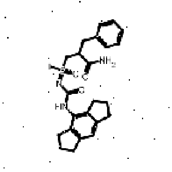 NC(=O)C(Cc1ccccc1)CS(=O)(I)=NC(=O)Nc1c2c(cc3c1CCC3)CCC2